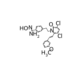 COc1cccc(/C=C/c2c(Cl)cc(Cl)c(=O)n2CCc2ccc(/C(N)=N/O)cc2)c1